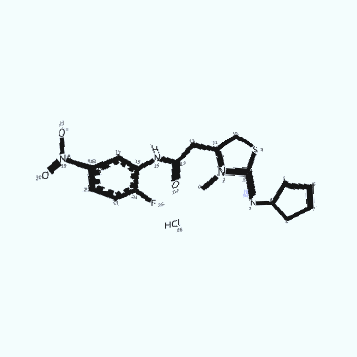 CN1/C(=N/C2CCCC2)SCC1CC(=O)Nc1cc([N+](=O)[O-])ccc1F.Cl